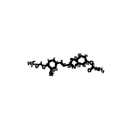 COCOc1ccc(C=Cc2nc3cc(OC(N)=O)ccc3s2)cc1Br